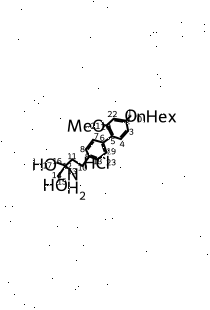 CCCCCCOc1ccc(-c2ccc(CCC(N)(CO)CO)cc2)c(OC)c1.Cl